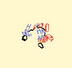 O=C(NCC(NS(=O)(=O)c1ccccc1)C(=O)O)c1cc(OCCCNc2nc3ccccc3[nH]2)no1